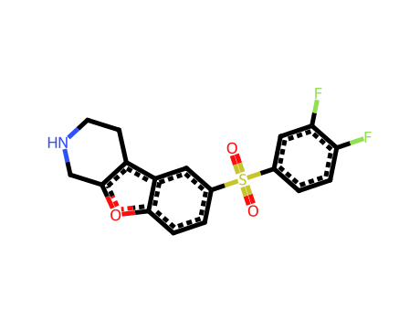 O=S(=O)(c1ccc(F)c(F)c1)c1ccc2oc3c(c2c1)CCNC3